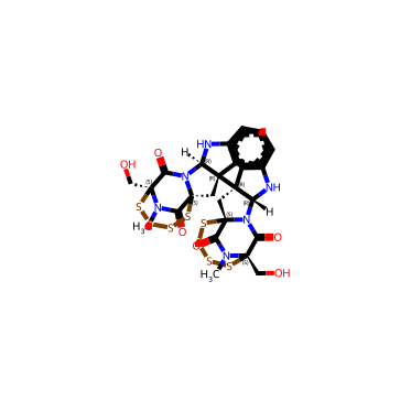 CN1C(=O)[C@@]23C[C@]4([C@]56C[C@@]78SSSS[C@@](CO)(C(=O)N7[C@H]5Nc5ccccc56)N(C)C8=O)c5ccccc5N[C@@H]4N2C(=O)[C@]1(CO)SSSS3